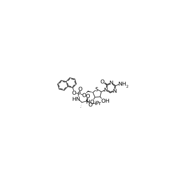 CC(C)OC(=O)[C@H](C)NP(=O)(OC[C@H]1S[C@@H](n2cnc(N)nc2=O)C(O)C1O)Oc1cccc2ccccc12